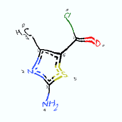 Cc1nc(N)sc1C(=O)Cl